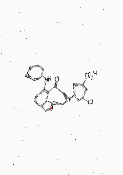 O=C(O)c1cc(Cl)cc(N2C(=O)c3c(Nc4ccccc4)ccc4c3C(=O)C2C=C4)c1